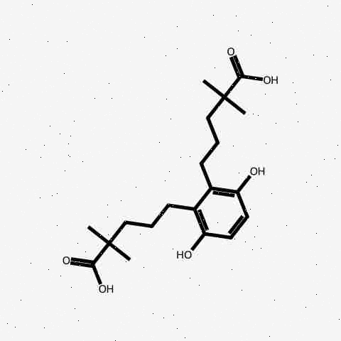 CC(C)(CCCc1c(O)ccc(O)c1CCCC(C)(C)C(=O)O)C(=O)O